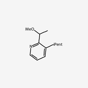 CCCC(C)c1cccnc1C(C)OC